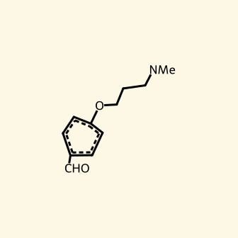 CNCCCOc1ccc(C=O)cc1